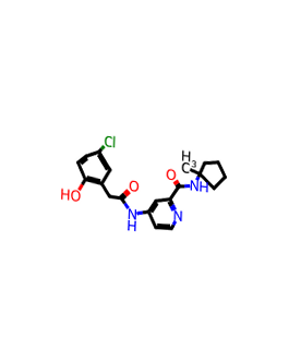 CC1(NC(=O)c2cc(NC(=O)Cc3cc(Cl)ccc3O)ccn2)CCCC1